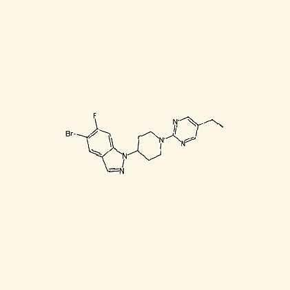 CCc1cnc(N2CCC(n3ncc4cc(Br)c(F)cc43)CC2)nc1